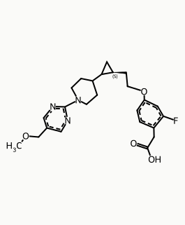 COCc1cnc(N2CCC(C3C[C@H]3CCOc3ccc(CC(=O)O)c(F)c3)CC2)nc1